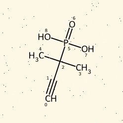 C#CC(C)(C)P(=O)(O)O